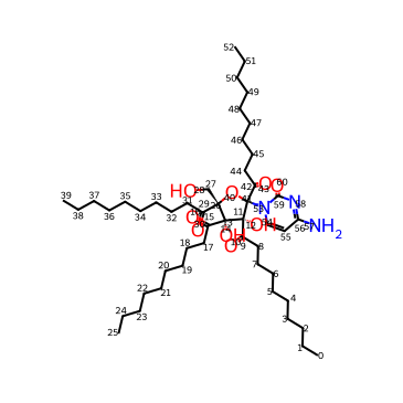 CCCCCCCCCC(=O)[C@@]1(O)[C@@](O)(C(=O)CCCCCCCCC)[C@](CO)(C(=O)CCCCCCCCC)O[C@@]1(C(=O)CCCCCCCCC)n1ccc(N)nc1=O